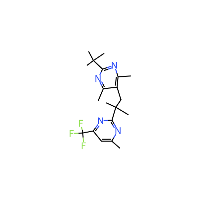 Cc1cc(C(F)(F)F)nc(C(C)(C)Cc2c(C)nc(C(C)(C)C)nc2C)n1